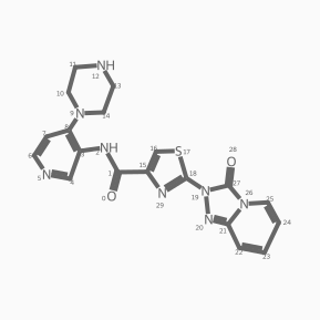 O=C(Nc1cnccc1N1CCNCC1)c1csc(-n2nc3ccccn3c2=O)n1